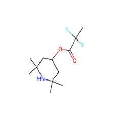 CC1(C)CC(OC(=O)C(C)(F)F)CC(C)(C)N1